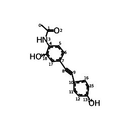 CC(=O)Nc1ccc(C#Cc2ccc(O)cc2)cc1O